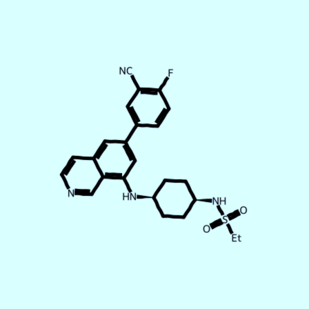 CCS(=O)(=O)N[C@H]1CC[C@@H](Nc2cc(-c3ccc(F)c(C#N)c3)cc3ccncc23)CC1